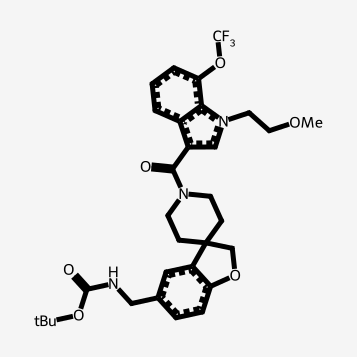 COCCn1cc(C(=O)N2CCC3(CC2)COc2ccc(CNC(=O)OC(C)(C)C)cc23)c2cccc(OC(F)(F)F)c21